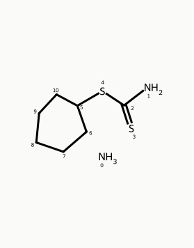 N.NC(=S)SC1CCCCC1